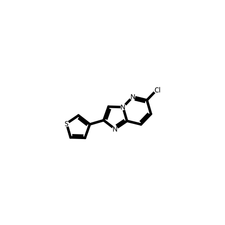 Clc1ccc2nc(-c3ccsc3)cn2n1